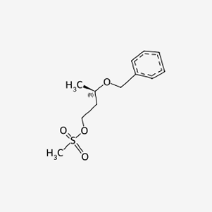 C[C@H](CCOS(C)(=O)=O)OCc1ccccc1